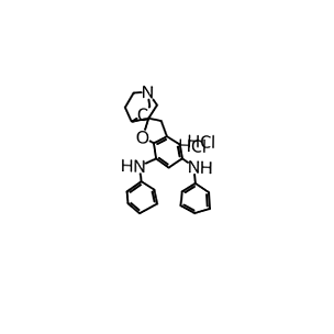 Cl.Cl.c1ccc(Nc2cc3c(c(Nc4ccccc4)c2)OC2(C3)CN3CCC2CC3)cc1